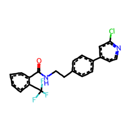 O=C(NCCc1ccc(-c2ccnc(Cl)c2)cc1)c1ccccc1C(F)(F)F